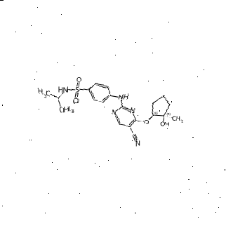 CC(C)NS(=O)(=O)c1ccc(Nc2ncc(C#N)c(O[C@H]3CCC[C@@]3(C)O)n2)cc1